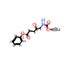 CC(C)(C)OC(=O)NCC(=O)CCC(=O)Oc1ccccc1